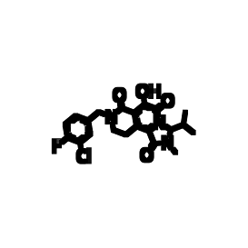 CC(C)C1N(C)C(=O)c2c3c(c(O)c(=O)n21)C(=O)N(Cc1ccc(F)c(Cl)c1)CC3